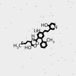 CSCCC(NC(=O)c1ccc(C=Cc2cnccc2O)cc1-c1ccccc1C)C(=O)O.[LiH]